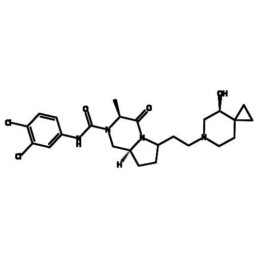 C[C@H]1C(=O)N2C(CCN3CCC4(CC4)[C@H](O)C3)CC[C@H]2CN1C(=O)Nc1ccc(Cl)c(Cl)c1